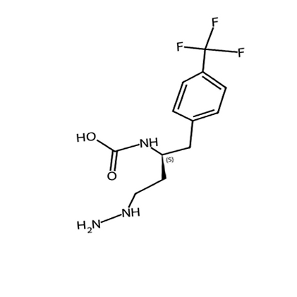 NNCC[C@H](Cc1ccc(C(F)(F)F)cc1)NC(=O)O